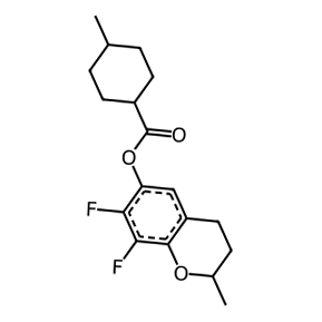 CC1CCC(C(=O)Oc2cc3c(c(F)c2F)OC(C)CC3)CC1